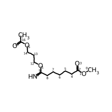 COC(=O)CCCCCC(=N)OCCCOC(C)=O